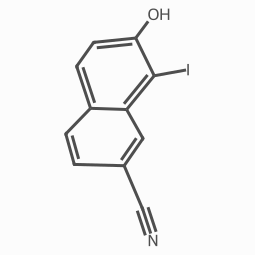 N#Cc1ccc2ccc(O)c(I)c2c1